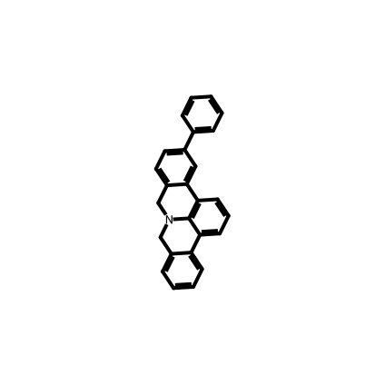 c1ccc(-c2ccc3c(c2)-c2cccc4c2N(Cc2ccccc2-4)C3)cc1